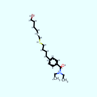 CCN(CC)C(=O)c1ccc(CCCCSCCCCCCBr)cc1